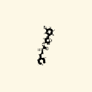 O=C(NCCc1ccncc1)Oc1cc(-c2cccc(F)c2)on1